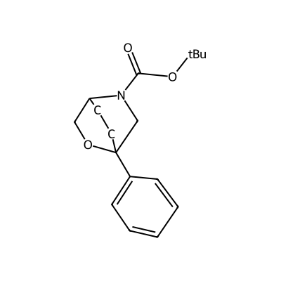 CC(C)(C)OC(=O)N1CC2(c3ccccc3)CCC1CO2